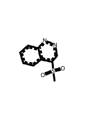 CS(=O)(=O)c1cnnc2ccccc12